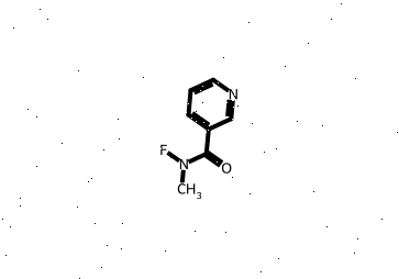 CN(F)C(=O)c1cccnc1